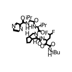 CC[C@H](C)NC(=O)C(=O)C(CC(F)F)NC(=O)C1[C@H]2CCC[C@H]2CN1C(=O)[C@@H](NC(=O)[C@H](NC(=O)c1cnccn1)C(C)C)C(C)C